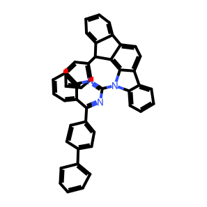 c1ccc(-c2ccc(-c3nc(-n4c5ccccc5c5ccc6c(c54)C(c4ccccc4)c4ccccc4-6)nc4ccccc34)cc2)cc1